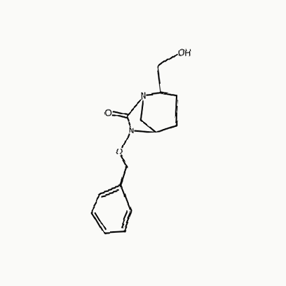 O=C1N2CC(CCC2CO)N1OCc1ccccc1